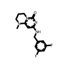 CN1CCCn2c1cc(NCc1cc(F)cc(F)c1)nc2=O